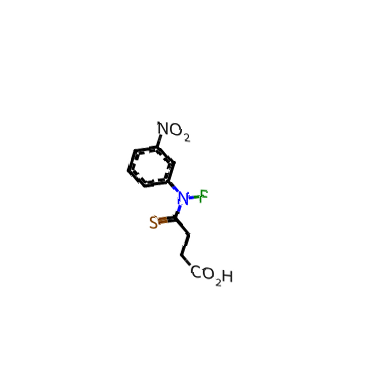 O=C(O)CCC(=S)N(F)c1cccc([N+](=O)[O-])c1